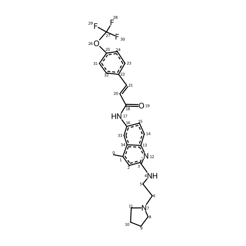 Cc1cc(NCCN2CCCC2)nc2ccc(NC(=O)C=Cc3ccc(OC(F)(F)F)cc3)cc12